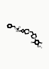 Nc1cc(F)c(N2CCC(CN3CCC4(CC3)CC(NC(=O)OCc3ccccc3)C4)CC2)cc1F